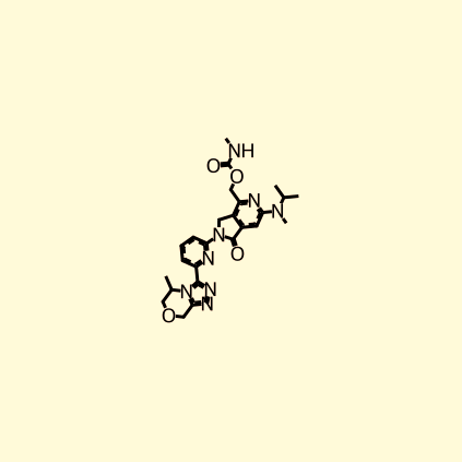 CNC(=O)OCc1nc(N(C)C(C)C)cc2c1CN(c1cccc(-c3nnc4n3C(C)COC4)n1)C2=O